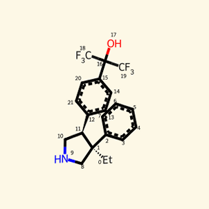 CC[C@]1(c2ccccc2)CNC[C@H]1c1ccc(C(O)(C(F)(F)F)C(F)(F)F)cc1